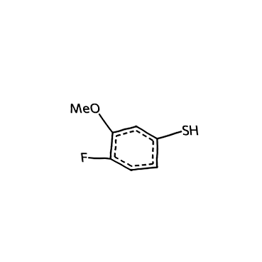 COc1cc(S)ccc1F